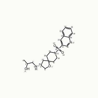 CC(O)CN[C@H]1COC2(CCN(S(=O)(=O)c3cnc4ccccc4c3)CC2)C1